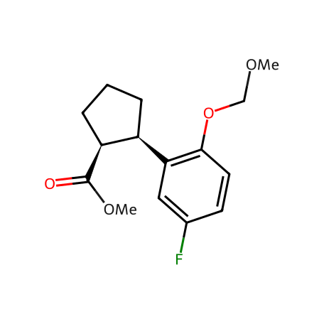 COCOc1ccc(F)cc1[C@@H]1CCC[C@@H]1C(=O)OC